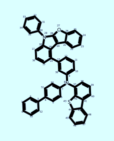 c1ccc(-c2ccc(N(c3cccc(-c4cccc5c4c4c6ccccc6oc4n5-c4ccccc4)c3)c3cccc4c3sc3ccccc34)cc2)cc1